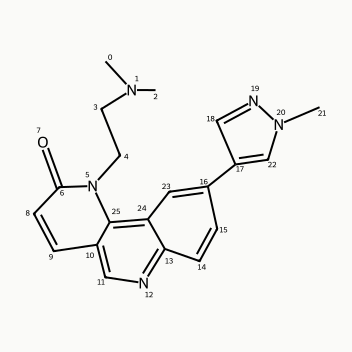 CN(C)CCn1c(=O)ccc2cnc3ccc(-c4cnn(C)c4)cc3c21